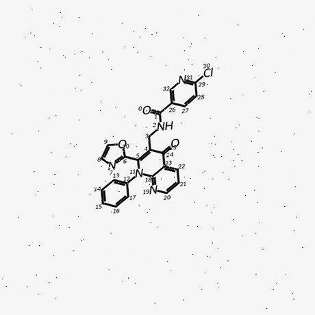 O=C(NCc1c(-c2ncco2)n(-c2ccccc2)c2ncccc2c1=O)c1ccc(Cl)nc1